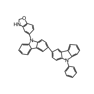 c1ccc(-n2c3ccccc3c3cc(-c4ccc5c(c4)c4ccccc4n5-c4ccc5c(c4)NCO5)ccc32)cc1